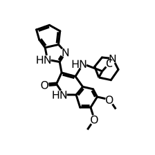 COc1cc2[nH]c(=O)c(-c3nc4ccccc4[nH]3)c(NC3CN4CCC3CC4)c2cc1OC